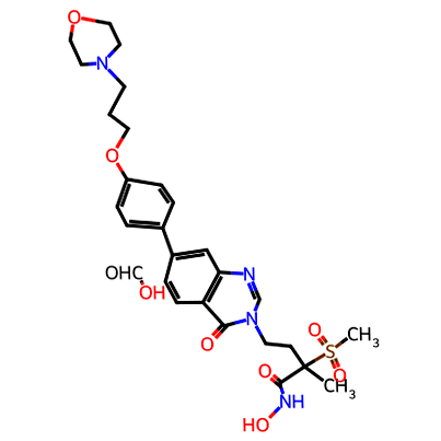 CC(CCn1cnc2cc(-c3ccc(OCCCN4CCOCC4)cc3)ccc2c1=O)(C(=O)NO)S(C)(=O)=O.O=CO